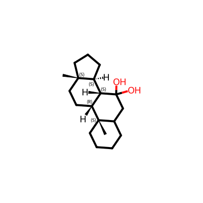 C[C@@]12CCC[C@H]1[C@H]1[C@@H](CC2)[C@@]2(C)CCCCC2CC1(O)O